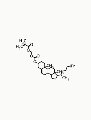 C=C(C)C(=O)OCOC(=O)O[C@H]1CC[C@@]2(C)C(=CCC3C4CCC(C(C)CCCC(C)C)[C@@]4(C)CCC32)C1